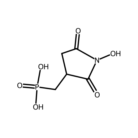 O=C1CC(CP(=O)(O)O)C(=O)N1O